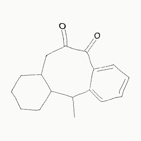 CC1c2ccccc2C(=O)C(=O)CC2CCCCC21